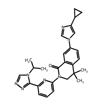 CC(C)n1cnnc1-c1cccc(N2CC(C)(C)c3ccc(-n4cnc(C5CC5)c4)cc3C2=O)n1